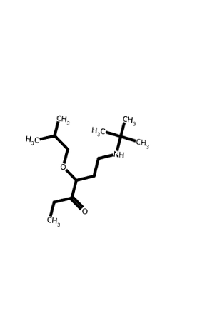 CCC(=O)C(CCNC(C)(C)C)OCC(C)C